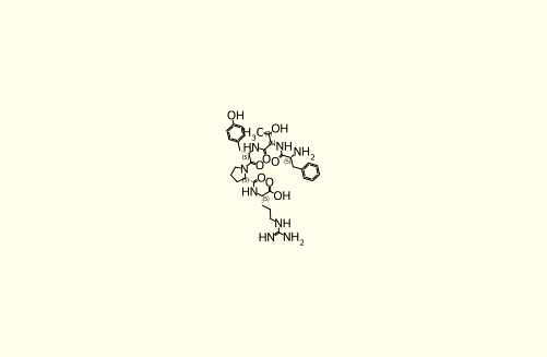 C[C@@H](O)[C@H](NC(=O)[C@@H](N)Cc1ccccc1)C(=O)N[C@@H](Cc1ccc(O)cc1)C(=O)N1CCC[C@H]1C(=O)N[C@@H](CCCNC(=N)N)C(=O)O